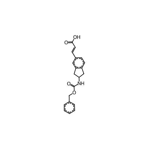 O=C(O)/C=C/c1ccc2c(c1)CC(NC(=O)OCc1ccccc1)C2